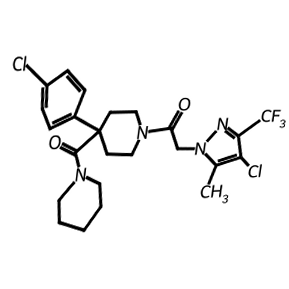 Cc1c(Cl)c(C(F)(F)F)nn1CC(=O)N1CCC(C(=O)N2CCCCC2)(c2ccc(Cl)cc2)CC1